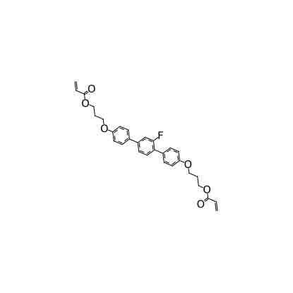 C=CC(=O)OCCCOc1ccc(-c2ccc(-c3ccc(OCCCOC(=O)C=C)cc3)c(F)c2)cc1